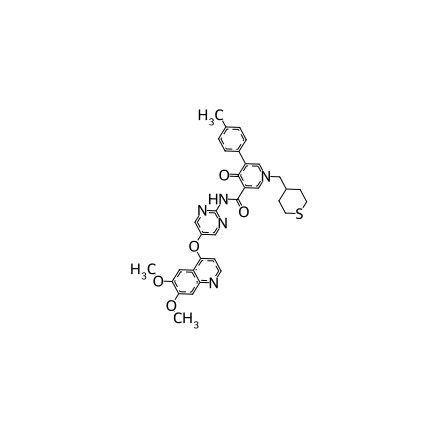 COc1cc2nccc(Oc3cnc(NC(=O)c4cn(CC5CCSCC5)cc(-c5ccc(C)cc5)c4=O)nc3)c2cc1OC